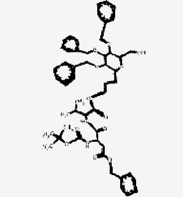 CC(C)C(NC(=O)C(CC(=O)OCc1ccccc1)NC(=O)OC(C)(C)C)C(=O)NCCCC1OC(CO)C(OCc2ccccc2)C(OCc2ccccc2)C1OCc1ccccc1